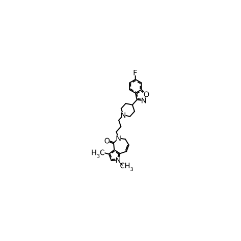 Cc1cn(C)c2c1C(=O)N(CCCN1CCC(c3noc4cc(F)ccc34)CC1)CC=C2